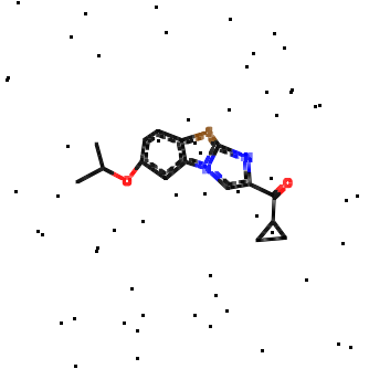 CC(C)Oc1ccc2sc3nc(C(=O)C4CC4)cn3c2c1